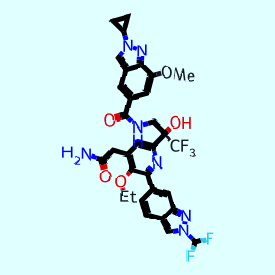 CCOc1c(CC(N)=O)cc([C@@](O)(CNC(=O)c2cc(OC)c3nn(C4CC4)cc3c2)C(F)(F)F)nc1-c1ccc2cn(C(F)F)nc2c1